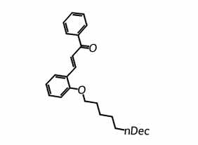 CCCCCCCCCCCCCCCOc1ccccc1C=CC(=O)c1ccccc1